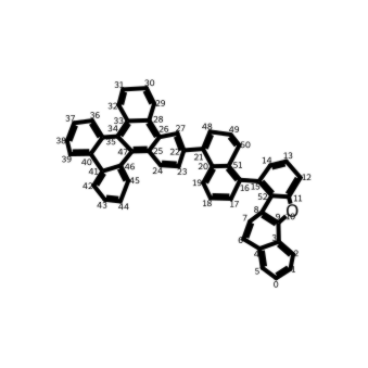 c1ccc2c(c1)ccc1c2oc2cccc(-c3cccc4c(-c5ccc6c(c5)c5ccccc5c5c7ccccc7c7ccccc7c65)cccc34)c21